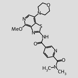 COc1ncc(N2CCOCC2)c2sc(NC(=O)c3ccc(C(=O)N(C)C)nc3)nc12